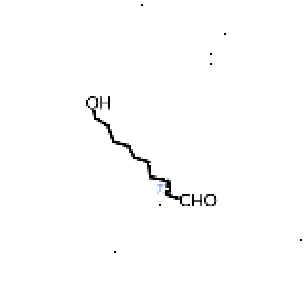 O=C/C=C/CCCCCCCO